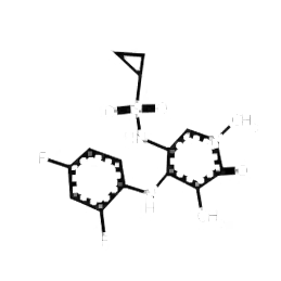 Cc1c(Nc2ccc(F)cc2F)c(NS(=O)(=O)C2CC2)cn(C)c1=O